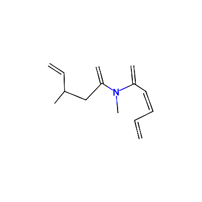 C=C/C=C\C(=C)N(C)C(=C)CC(C)C=C